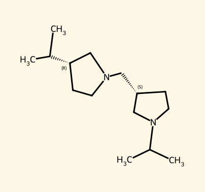 CC(C)[C@H]1CCN(C[C@@H]2CCN(C(C)C)C2)C1